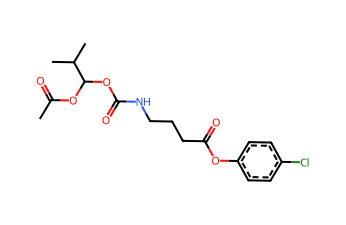 CC(=O)OC(OC(=O)NCCCC(=O)Oc1ccc(Cl)cc1)C(C)C